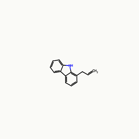 C=CCc1cccc2c1[nH]c1ccccc12